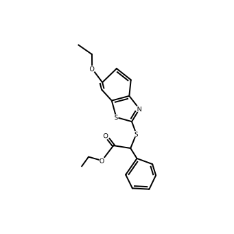 CCOC(=O)C(Sc1nc2ccc(OCC)cc2s1)c1ccccc1